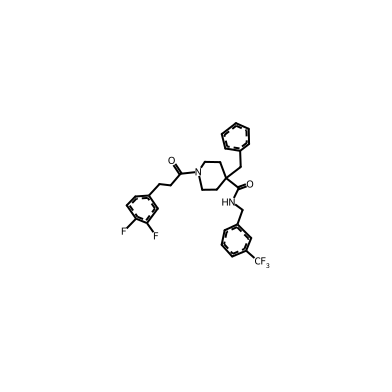 O=C(CCc1ccc(F)c(F)c1)N1CCC(Cc2ccccc2)(C(=O)NCc2cccc(C(F)(F)F)c2)CC1